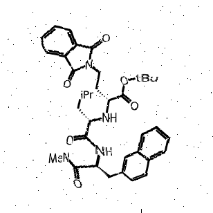 CNC(=O)[C@H](Cc1ccc2ccccc2c1)NC(=O)[C@H](CC(C)C)N[C@H](CCN1C(=O)c2ccccc2C1=O)C(=O)OC(C)(C)C